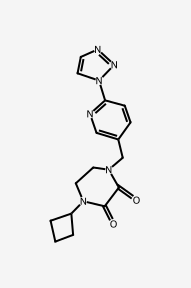 O=C1C(=O)N(C2CCC2)CCN1Cc1ccc(-n2ccnn2)nc1